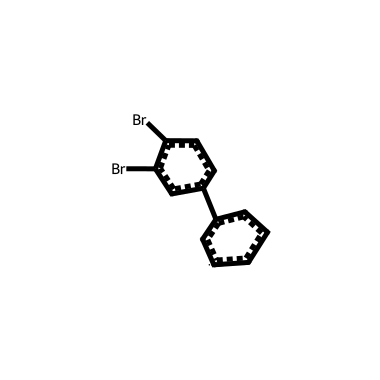 Brc1ccc(-c2c[c]ccc2)cc1Br